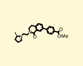 COC(=O)c1ccc(-c2ccc3c(c2)C(=O)N(CCN2CCC[C@H]2C)CC3)cc1